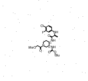 C=C(Nc1ccc(Cl)c(F)c1)C(=O)N[C@H]1CCN(C(=O)COC)C[C@H]1NC(=O)OC(C)(C)C